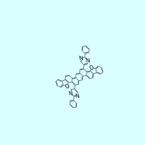 c1ccc(-c2ncc(-c3cc4cc5c(cc(-c6cnc(-c7ccccc7)nc6)c6c5ccc5c7ccccc7oc56)cc4c4ccc5c6ccccc6oc5c34)cn2)cc1